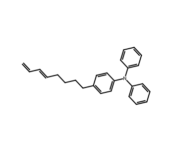 C=C/C=C/CCCCc1ccc(N(c2ccccc2)c2ccccc2)cc1